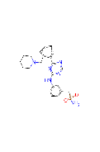 NS(=O)(=O)Cc1cccc(Nc2ncnc(-c3ccccc3CN3CCCCC3)n2)c1